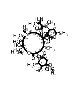 CC[C@H]1OC(=O)[C@H](C)[C@@H](O[C@H]2C[C@@](C)(OC)[C@@H](O)[C@H](C)O2)[C@H](C)[C@@H](O[C@@H]2O[C@H](C)C[C@H](N(C)C(=O)C(C)N)[C@H]2O)[C@](C)(O)C[C@@H](C)CN(C)[C@H](C)[C@@H](O)[C@]1(C)O